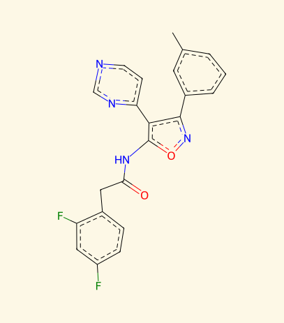 Cc1cccc(-c2noc(NC(=O)Cc3ccc(F)cc3F)c2-c2ccncn2)c1